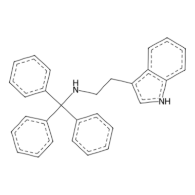 c1ccc(C(NCCc2c[nH]c3ccccc23)(c2ccccc2)c2ccccc2)cc1